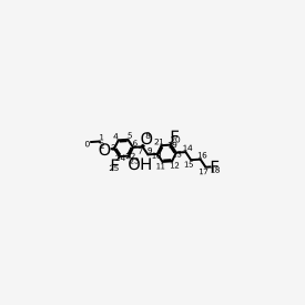 CCOc1ccc(C(=O)Cc2ccc(CCCCF)c(F)c2)c(O)c1F